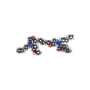 c1ccc(-c2ccc3cc(-c4nc(-c5cccc6c5ccc5oc7cc(-c8ccc9cc(-c%10ccc%11c(c%10)oc%10cccc(-c%12nc(-c%13ccc(-c%14ccc%15ccccc%15c%14)cc%13)nc(-c%13cccc%14c%13ccc%13oc%15ccccc%15c%13%14)n%12)c%10%11)ccc9c8)ccc7c56)nc(-c5cccc6oc7c(-c8ccccc8)cccc7c56)n4)ccc3c2)cc1